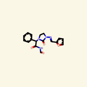 O=CNC(=O)C(c1ccccc1)N1CCN(N=Cc2ccco2)C1=O